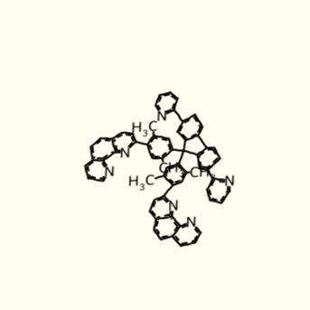 Cc1cc(C2(c3cc(C)c(-c4ccc5ccc6cccnc6c5n4)cc3C)c3cc(-c4ccccn4)ccc3-c3ccc(-c4ccccn4)cc32)c(C)cc1-c1ccc2ccc3cccnc3c2n1